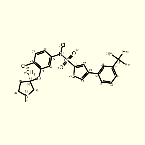 C[C@@]1(Oc2cc(N(Cl)S(=O)(=O)c3cc(-c4cccc(C(F)(F)F)c4)cs3)ccc2Cl)CCNC1